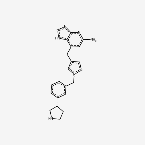 Nc1cc(Cc2cnn(Cc3cccc([C@@H]4CCNC4)c3)c2)c2[nH]nnc2n1